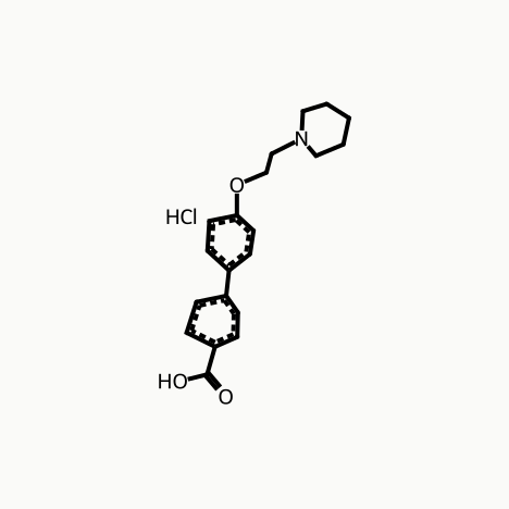 Cl.O=C(O)c1ccc(-c2ccc(OCCN3CCCCC3)cc2)cc1